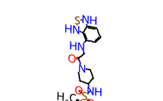 C=CS(=O)(=O)NC1CCN(C(=O)CNc2cccc3c2NSN3)CC1